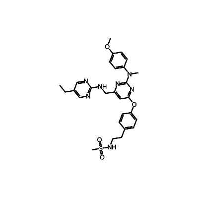 CCc1cnc(NCc2cc(Oc3ccc(CCNS(C)(=O)=O)cc3)nc(N(C)c3ccc(OC)cc3)n2)nc1